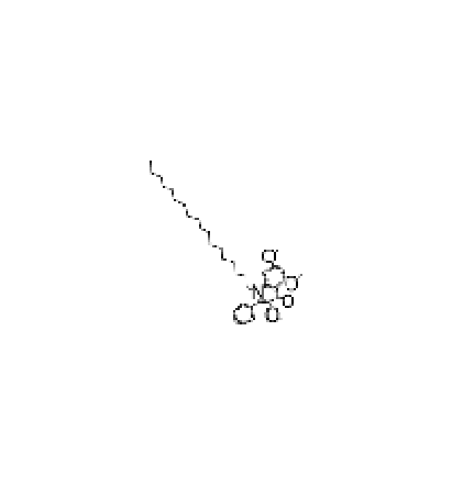 CCCCCCCCCCCCCCCCCCn1c(-c2ccccc2)c(OC)c(=O)c2c(OC)cc(OC)cc21